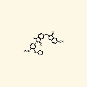 COc1ccc(N2C(=O)c3cc(CN4Cc5ccc(O)cc5C4=O)ccc3C2C)cc1OC1CCCC1